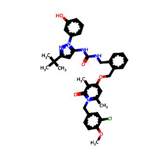 COc1ccc(Cn2c(C)cc(OCc3ccccc3CNC(=O)Nc3cc(C(C)(C)C)nn3-c3cccc(O)c3)c(C)c2=O)cc1Cl